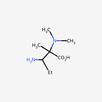 CCC(N)C(C)(C(=O)O)N(C)C